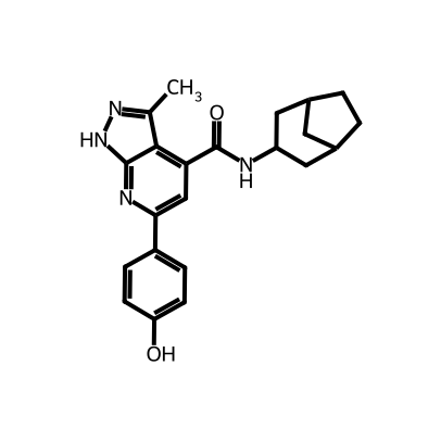 Cc1n[nH]c2nc(-c3ccc(O)cc3)cc(C(=O)NC3CC4CCC(C4)C3)c12